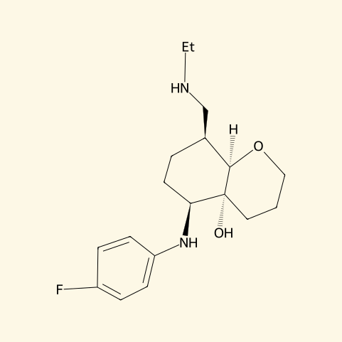 CCNC[C@@H]1CC[C@H](Nc2ccc(F)cc2)[C@]2(O)CCCO[C@H]12